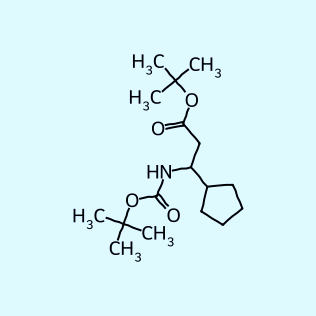 CC(C)(C)OC(=O)CC(NC(=O)OC(C)(C)C)C1CCCC1